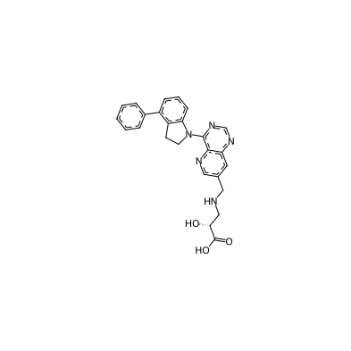 O=C(O)[C@H](O)CNCc1cnc2c(N3CCc4c(-c5ccccc5)cccc43)ncnc2c1